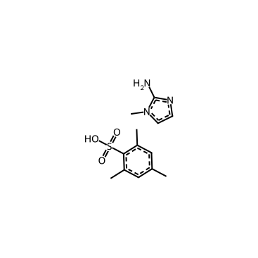 Cc1cc(C)c(S(=O)(=O)O)c(C)c1.Cn1ccnc1N